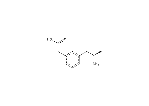 C[C@@H](N)Cc1cccc(CC(=O)O)c1